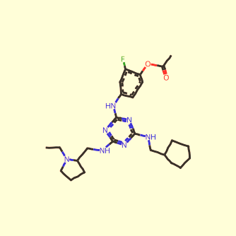 CCN1CCCC1CNc1nc(NCC2CCCCC2)nc(Nc2ccc(OC(C)=O)c(F)c2)n1